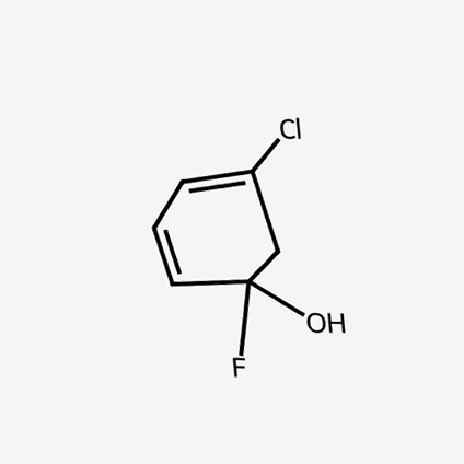 OC1(F)C=CC=C(Cl)C1